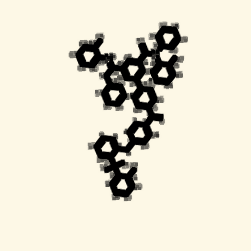 C=C(c1ccc(Cc2ccccc2C(C)(C)c2ccccc2C)cc1)c1ccc(-c2cc(C(=C)N(c3ccccc3)c3ccccc3C)cc(/C(Cc3ccccc3)=N/c3ccccc3C)c2)cc1